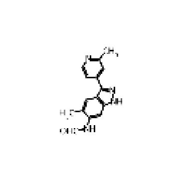 Cc1cc(-c2n[nH]c3cc(NC=O)c(C)cc23)ccn1